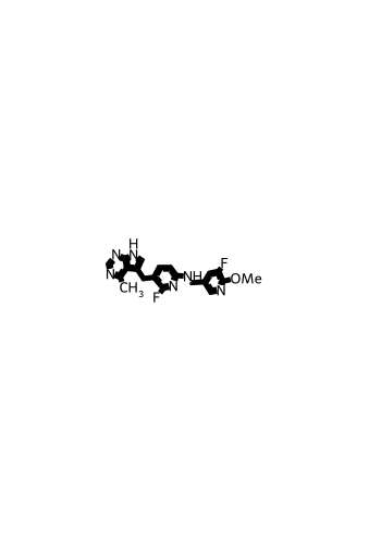 COc1ncc(CNc2ccc(Cc3c[nH]c4ncnc(C)c34)c(F)n2)cc1F